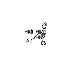 CC(=O)CCCCCC(NC(=O)C1CCN(C)CC1)c1ncc(-c2ccccc2)[nH]1.Cl.Cl